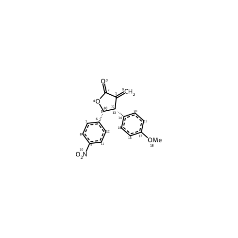 C=C1C(=O)O[C@@H](c2ccc([N+](=O)[O-])cc2)[C@H]1c1ccc(OC)cc1